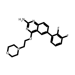 Nc1nc(OCCN2CCOCC2)c2cc(-c3cccc(F)c3F)ccc2n1